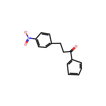 O=C(CCc1ccc([N+](=O)[O-])cc1)c1ccccc1